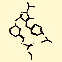 CCOC(=O)O/C=C1\CCC[C@H](Cc2nn(C(C)C)c(C)c2Cc2ccc(CC(C)C)cc2)C1